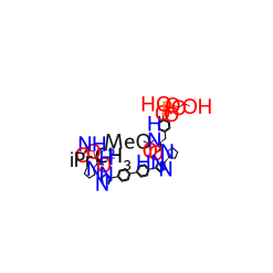 COC(=O)N[C@@H](Cc1ccc(OP(=O)(O)OOCO)cc1)C(=O)N1CCC[C@H]1c1ncc(-c2ccc(-c3ccc(-c4cnc([C@@H]5CCCN5C(=O)[C@@](C)(OC(N)=O)C(C)C)[nH]4)cc3)cc2)[nH]1